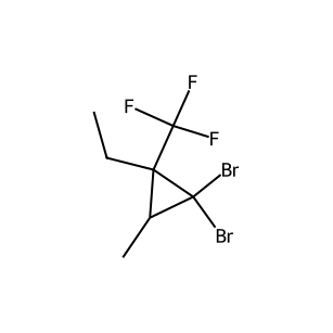 CCC1(C(F)(F)F)C(C)C1(Br)Br